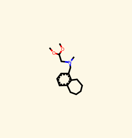 COC(CN(C)Cc1cccc2c1CCCCC2)OC